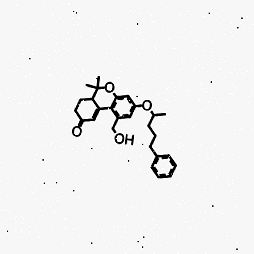 CC(CCCc1ccccc1)Oc1cc(CO)c2c(c1)OC(C)(C)C1CCC(=O)C=C21